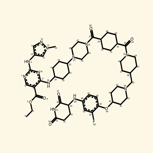 CCOC(=O)c1cnc(Nc2cnn(C)c2)nc1NC1CCC(N2CCN(C(=O)C3CCC(C(=O)N4CCC(CN5CCC(Oc6ccc(NC7CCC(=O)NC7=O)cc6F)CC5)CC4)CC3)CC2)CC1